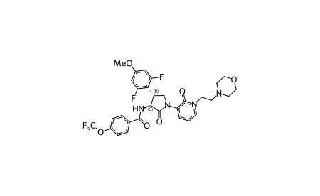 COc1cc(F)c([C@@H]2CN(c3cccn(CCN4CCOCC4)c3=O)C(=O)[C@H]2NC(=O)c2ccc(OC(F)(F)F)cc2)c(F)c1